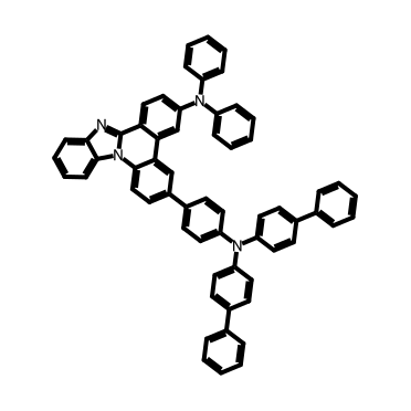 c1ccc(-c2ccc(N(c3ccc(-c4ccccc4)cc3)c3ccc(-c4ccc5c(c4)c4cc(N(c6ccccc6)c6ccccc6)ccc4c4nc6ccccc6n54)cc3)cc2)cc1